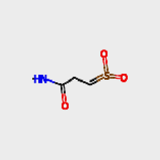 [NH]C(=O)CC=S(=O)=O